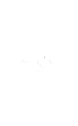 C=CC(C(C)NC(=O)CCCCCCCCCCC)N(C)C.Cl